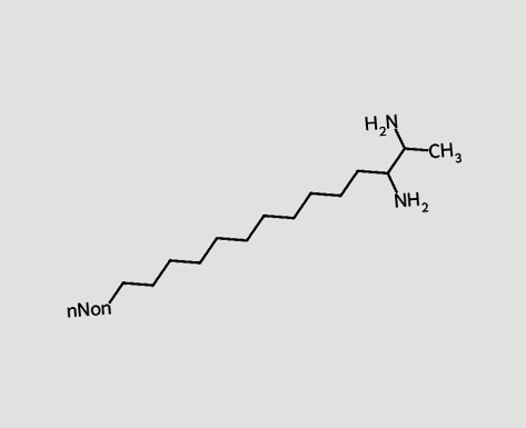 CCCCCCCCCCCCCCCCCCCCC(N)C(C)N